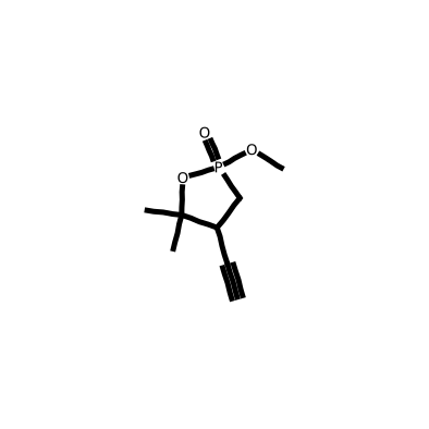 C#CC1CP(=O)(OC)OC1(C)C